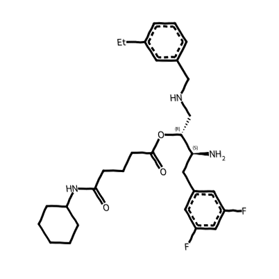 CCc1cccc(CNC[C@@H](OC(=O)CCCC(=O)NC2CCCCC2)[C@@H](N)Cc2cc(F)cc(F)c2)c1